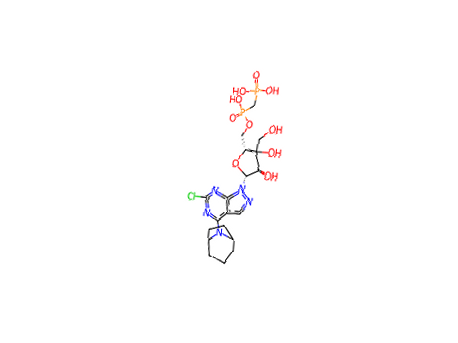 O=P(O)(O)CP(=O)(O)OC[C@H]1O[C@@H](n2ncc3c(N4C5CCCC4CC5)nc(Cl)nc32)[C@H](O)C1(O)CO